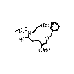 CO[C@@H](CCC(C#N)N(CCC(C)(C)C)C(=O)O)COCc1ccccc1